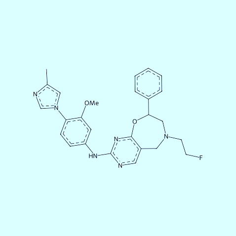 COc1cc(Nc2ncc3c(n2)OC(c2ccccc2)CN(CCF)C3)ccc1-n1cnc(C)c1